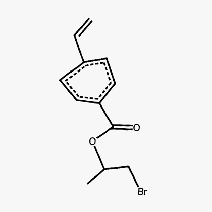 C=Cc1ccc(C(=O)OC(C)CBr)cc1